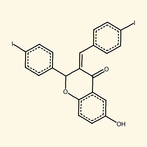 O=C1C(=Cc2ccc(I)cc2)C(c2ccc(I)cc2)Oc2ccc(O)cc21